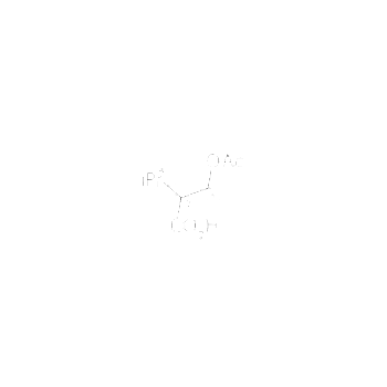 CC(=O)OCC(C(=O)O)C(C)C